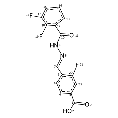 O=C(O)c1ccc(C=NNC(=O)c2cccc(F)c2F)c(F)c1